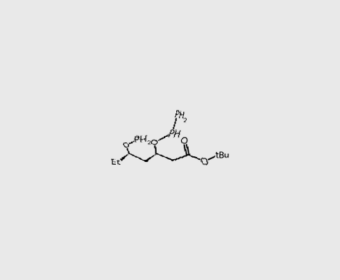 CC[C@H](C[C@H](CC(=O)OC(C)(C)C)OPP)OP